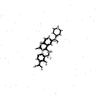 Cc1nc(N[C@H](C)c2cccc(C(F)F)c2F)c2cc(N(C)C3CCOCC3)ncc2n1